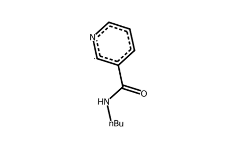 CCCCNC(=O)c1[c]nccc1